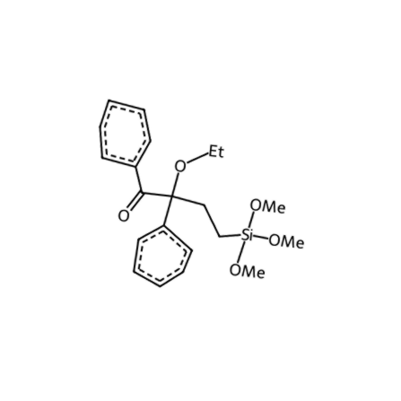 CCOC(CC[Si](OC)(OC)OC)(C(=O)c1ccccc1)c1ccccc1